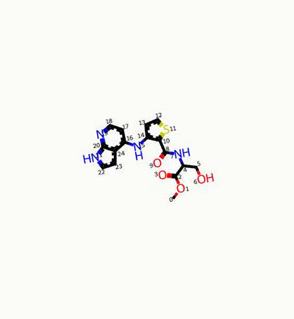 COC(=O)C(CO)NC(=O)c1sccc1Nc1ccnc2[nH]ccc12